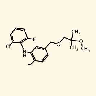 COC(C)(C)COCc1ccc(F)c(Nc2c(F)cccc2Cl)c1